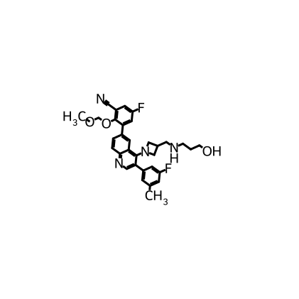 COCOc1c(C#N)cc(F)cc1-c1ccc2ncc(-c3cc(C)cc(F)c3)c(N3CC(CNCCCO)C3)c2c1